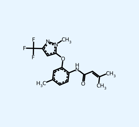 CC(C)=CC(=O)Nc1ccc(C)cc1Oc1cc(C(F)(F)F)nn1C